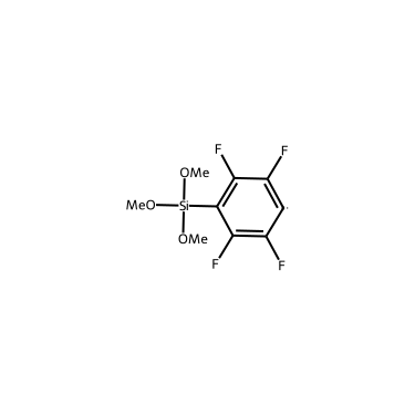 CO[Si](OC)(OC)c1c(F)c(F)[c]c(F)c1F